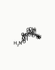 C[C@@H](NCCn1cnnn1)[C@H]1C(=O)N2C(C(=O)O)=C(S[C@@H]3CNC(C(=O)N4CCN(C(=O)CCN)CC4)C3)[C@H](C)[C@H]12